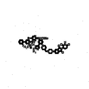 COc1cc(N2CCC(CN3CCN(c4ccc5c(c4)C(=O)N(C4CCC(=O)NC4=O)C5=O)CC3)CC2)c(-c2cnn(C)c2)cc1Nc1ncc(Br)c(Nc2ccc(-c3ccccc3F)cc2P(C)(C)=O)n1